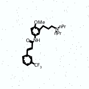 CCCN(CCC)CCCc1cc(NC(=O)C=Cc2cccc(C(F)(F)F)c2)ccc1OC